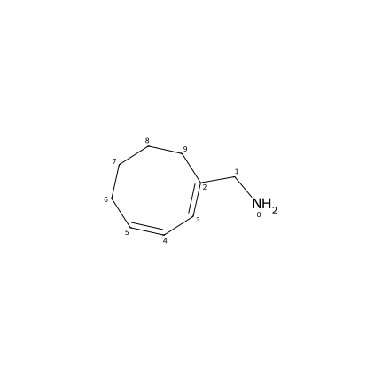 NCC1=CC=CCCCC1